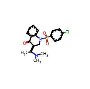 CC(=C1CN(S(=O)(=O)c2ccc(Cl)cc2)c2ccccc2C1=O)N(C)C